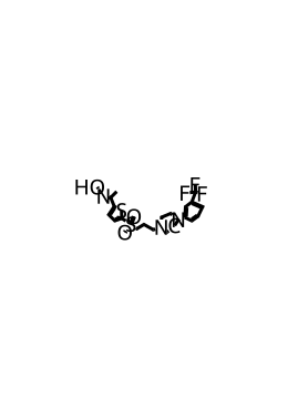 CC(=NO)c1ccc(S(=O)(=O)CCCN2CCN(c3cccc(C(F)(F)F)c3)CC2)s1